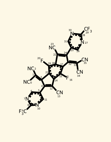 N#CC(C#N)=C1C(c2cnc(C(F)(F)F)nc2)=C(C#N)c2c(F)c3c(c(F)c21)C(C#N)=C(c1cnc(C(F)(F)F)nc1)C3=C(C#N)C#N